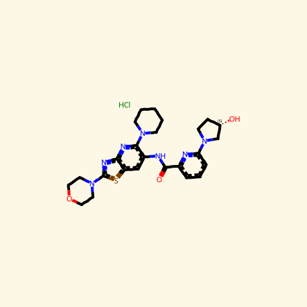 Cl.O=C(Nc1cc2sc(N3CCOCC3)nc2nc1N1CCCCC1)c1cccc(N2CC[C@H](O)C2)n1